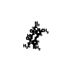 CCOC(=O)CNCC(=O)OCC.Cc1cc(CCc2ccc(N)cc2)ccn1